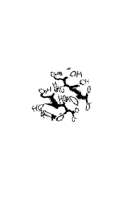 O=C([O-])C(O)C(O)C(O)C(O)CO.O=C([O-])C(O)C(O)C(O)C(O)CO.[Zn+2]